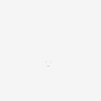 CCCCCCCCCCc1ccc(F)cc1